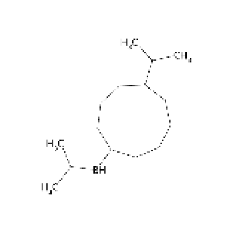 CC(C)BC1CCCCC(C(C)C)CCC1